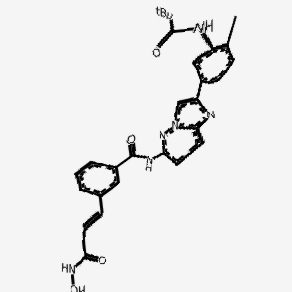 Cc1ccc(-c2cn3nc(NC(=O)c4cccc(C=CC(=O)NO)c4)ccc3n2)cc1NC(=O)C(C)(C)C